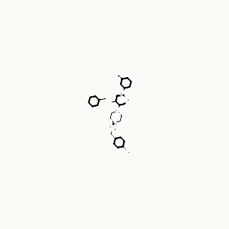 Nc1ccc(CS(=O)(=O)N2CCN(c3cnn(-c4cccc(Cl)c4)c(=O)c3OCc3ccccc3)CC2)cc1